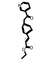 CCOC(=O)/C=C/c1ccc(CC(=O)c2cccnc2)cc1